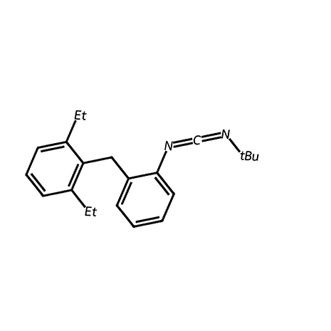 CCc1cccc(CC)c1Cc1ccccc1N=C=NC(C)(C)C